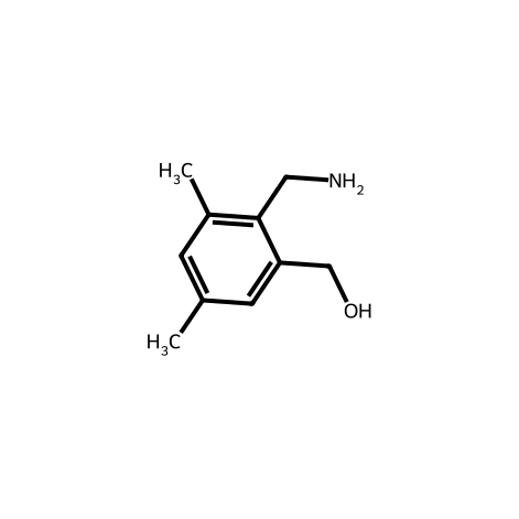 Cc1cc(C)c(CN)c(CO)c1